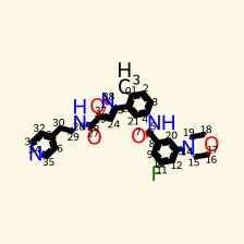 Cc1ccc(NC(=O)c2cc(F)cc(N3CCOCC3)c2)cc1-c1cc(C(=O)NCCc2ccncc2)on1